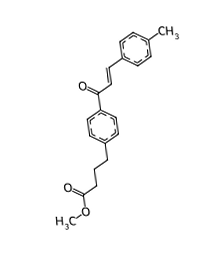 COC(=O)CCCc1ccc(C(=O)/C=C/c2ccc(C)cc2)cc1